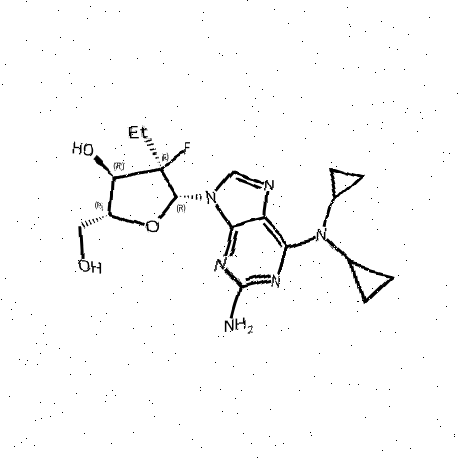 CC[C@@]1(F)[C@H](O)[C@@H](CO)O[C@H]1n1cnc2c(N(C3CC3)C3CC3)nc(N)nc21